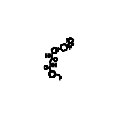 O=C(CNC(=O)c1cccc(CF)c1)N[C@@H]1CCN(C2CCC(F)(c3nccs3)CC2)C1